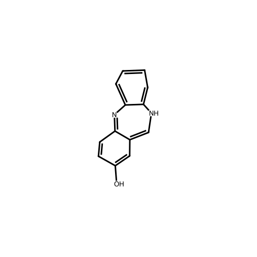 Oc1ccc2c(c1)=CNc1ccccc1N=2